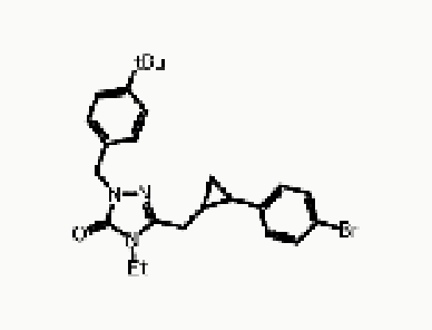 CCn1c(CC2CC2c2ccc(Br)cc2)nn(Cc2ccc(C(C)(C)C)cc2)c1=O